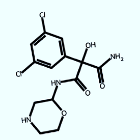 NC(=O)C(O)(C(=O)NC1CNCCO1)c1cc(Cl)cc(Cl)c1